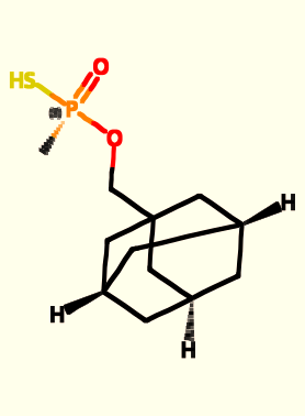 C[P@@](=O)(S)OCC12C[C@H]3C[C@@H](C1)C[C@@H](C2)C3